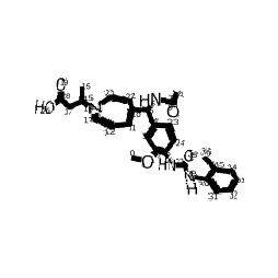 COc1cc(C(NC(C)=O)C2=CC=CN(C(C)CC(=O)O)C=C2)ccc1NC(=O)Nc1ccccc1C